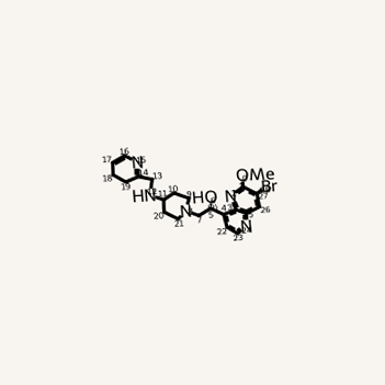 COc1nc2c([C@@H](O)CN3CCC(NCC4=NC=CCC4)CC3)ccnc2cc1Br